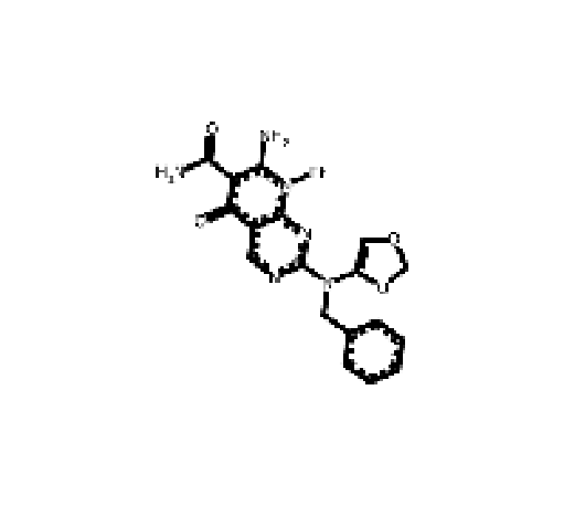 CCn1c(N)c(C(N)=O)c(=O)c2cnc(N(Cc3ccccc3)C3=COCO3)nc21